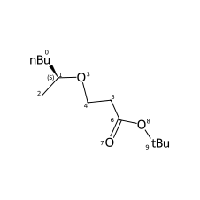 CCCC[C@H](C)OCCC(=O)OC(C)(C)C